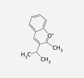 Cc1[o+]c2ccccc2cc1C(C)C